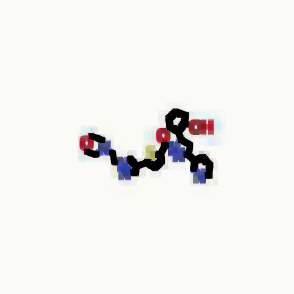 O=C(c1ccc(-c2cnn(CCN3CCOCC3)c2)s1)N1N=C(c2cccnc2)CC1c1ccccc1O